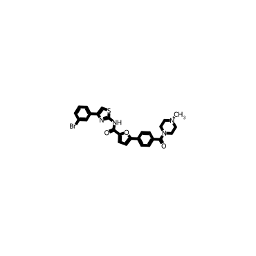 CN1CCN(C(=O)c2ccc(-c3ccc(C(=O)Nc4nc(-c5cccc(Br)c5)cs4)o3)cc2)CC1